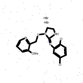 Br.Br.COc1cccnc1CON1CCN/C1=N\c1cc(Cl)ccc1Cl